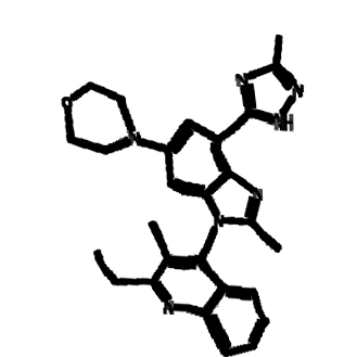 CCc1nc2ccccc2c(-n2c(C)nc3c(-c4nc(C)n[nH]4)cc(N4CCOCC4)cc32)c1C